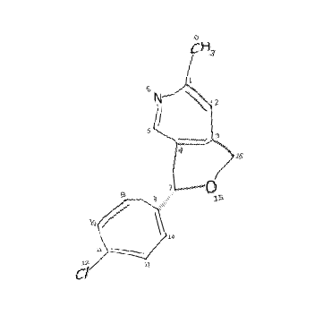 Cc1[c]c2c(cn1)[C@@H](c1ccc(Cl)cc1)OC2